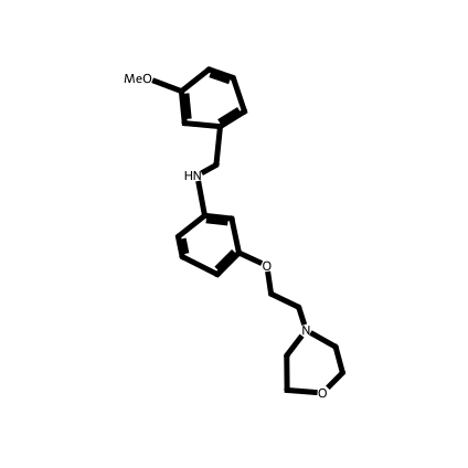 COc1cccc(CNc2cccc(OCCN3CCOCC3)c2)c1